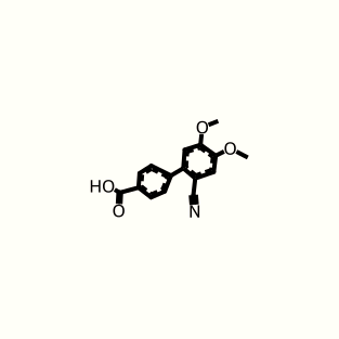 COc1cc(C#N)c(-c2ccc(C(=O)O)cc2)cc1OC